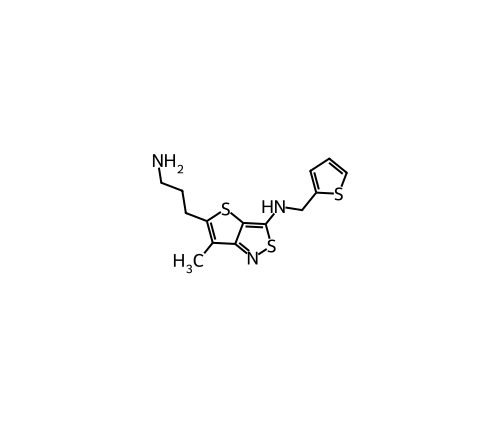 Cc1c(CCCN)sc2c(NCc3cccs3)snc12